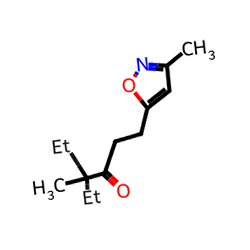 CCC(C)(CC)C(=O)CCc1cc(C)no1